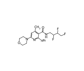 CCCc1nc(N2CCOCC2)cc(C)c1C(=O)NCC(F)C(F)CF